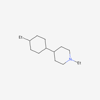 CCC1CCC(C2CCN(CC)CC2)CC1